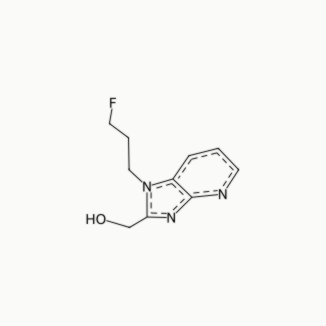 OCc1nc2ncccc2n1CCCF